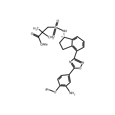 COC(=O)C(C)(C)CS(=O)(=O)N[C@H]1CCc2c(-c3noc(-c4ccc(OC(C)C)c(N)c4)n3)cccc21